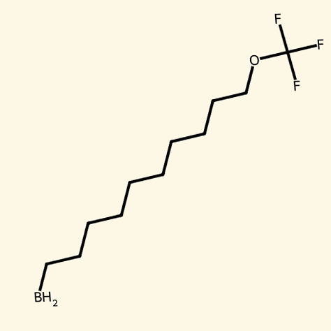 BCCCCCCCCCCOC(F)(F)F